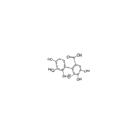 O=C(O)c1cc(O)c(O)c(O)c1-c1ccc(O)c(O)c1O